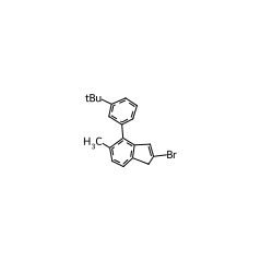 Cc1ccc2c(c1-c1cccc(C(C)(C)C)c1)C=C(Br)C2